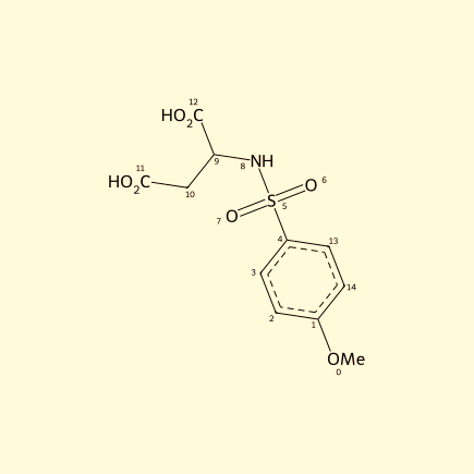 COc1ccc(S(=O)(=O)NC(CC(=O)O)C(=O)O)cc1